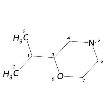 CC(C)C1C[N]CCO1